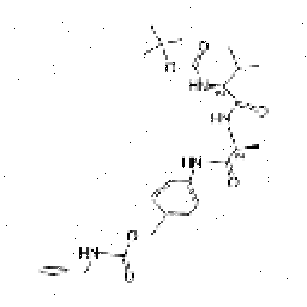 C#CCNC(=O)OCc1ccc(NC(=O)[C@H](C)NC(=O)[C@@H](NC(=O)OC(C)(C)C)C(C)C)cc1